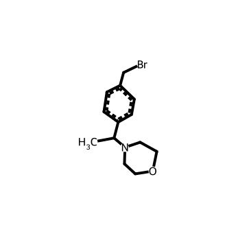 CC(c1ccc(CBr)cc1)N1CCOCC1